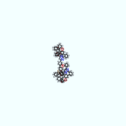 c1ccc(-c2cc(-c3ccc4c(c3)oc3cc(-c5ccc6c(c5)-c5ccccc5C65c6ccccc6Oc6cc(-c7ccccc7-c7nc(-c8ccccc8)cc(-c8ccc9c(c8)sc8ccccc89)n7)ccc65)ccc34)nc(-c3ccccc3-c3ccc4c(c3)Oc3ccccc3C43c4ccccc4-c4ccccc43)n2)cc1